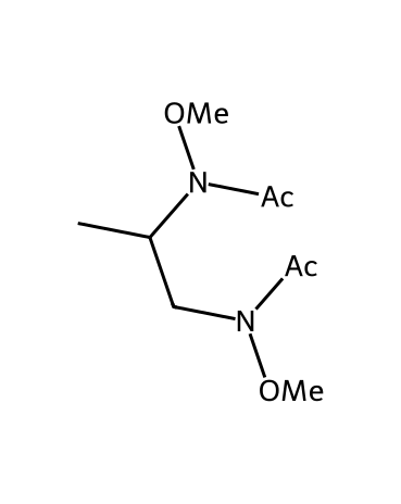 CON(CC(C)N(OC)C(C)=O)C(C)=O